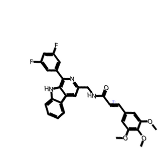 COc1cc(/C=C/C(=O)NCc2cc3c([nH]c4ccccc43)c(-c3cc(F)cc(F)c3)n2)cc(OC)c1OC